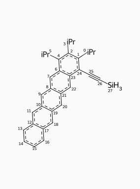 CC(C)c1c(C(C)C)c(C(C)C)c2cc3cc4cc5ccccc5cc4cc3cc2c1C#C[SiH3]